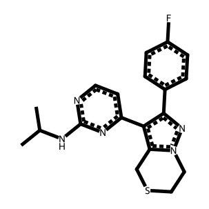 CC(C)Nc1nccc(-c2c(-c3ccc(F)cc3)nn3c2CSCC3)n1